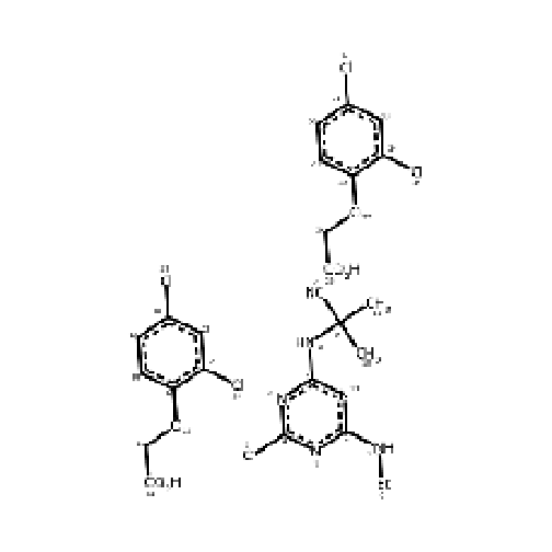 CCNc1nc(Cl)nc(NC(C)(C)C#N)n1.O=C(O)COc1ccc(Cl)cc1Cl.O=C(O)COc1ccc(Cl)cc1Cl